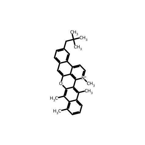 Cc1c2c(c(C)c3c(C)cccc13)Oc1cc3ccc(CC(C)(C)C)cc3c3cc[n+](C)c-2c13